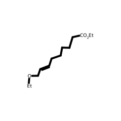 CCOCC=CCCCCCC(=O)OCC